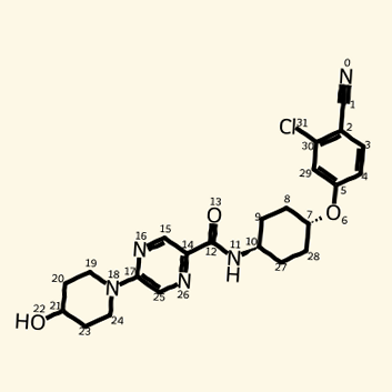 N#Cc1ccc(O[C@H]2CC[C@H](NC(=O)c3cnc(N4CCC(O)CC4)cn3)CC2)cc1Cl